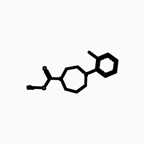 Cc1ccccc1N1CCCN(C(=O)OC(C)(C)C)CC1